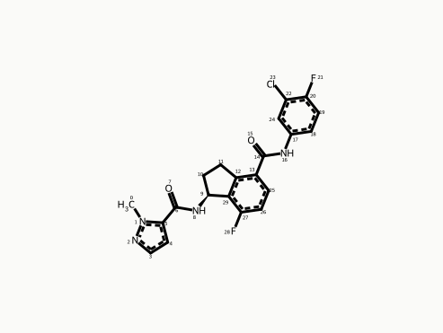 Cn1nccc1C(=O)N[C@H]1CCc2c(C(=O)Nc3ccc(F)c(Cl)c3)ccc(F)c21